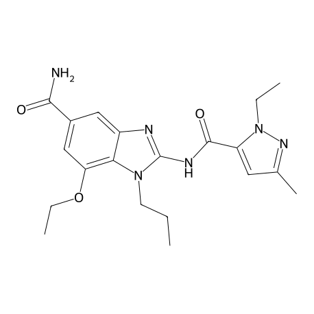 CCCn1c(NC(=O)c2cc(C)nn2CC)nc2cc(C(N)=O)cc(OCC)c21